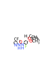 CC1(C)OB(c2ccc(NC(=O)Nc3cc(C(F)(F)F)ccn3)c(F)c2)OC1(C)C